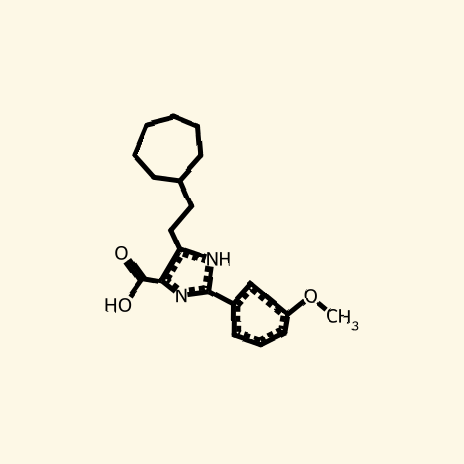 COc1cccc(-c2nc(C(=O)O)c(CCC3CCCCCC3)[nH]2)c1